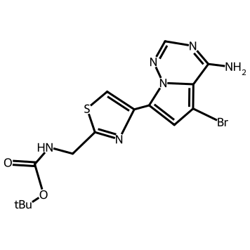 CC(C)(C)OC(=O)NCc1nc(-c2cc(Br)c3c(N)ncnn23)cs1